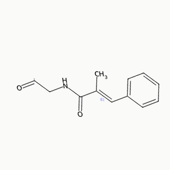 C/C(=C\c1ccccc1)C(=O)NC[C]=O